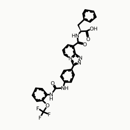 O=C(Nc1ccc(-c2nnc3c(C(=O)N[C@@H](Cc4ccccc4)C(=O)O)cccn23)cc1)Nc1ccccc1OC(F)(F)F